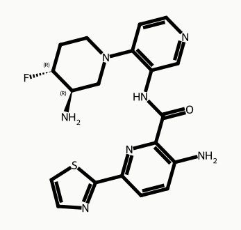 Nc1ccc(-c2nccs2)nc1C(=O)Nc1cnccc1N1CC[C@@H](F)[C@H](N)C1